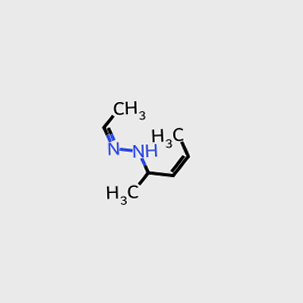 C/C=C\C(C)N/N=C\C